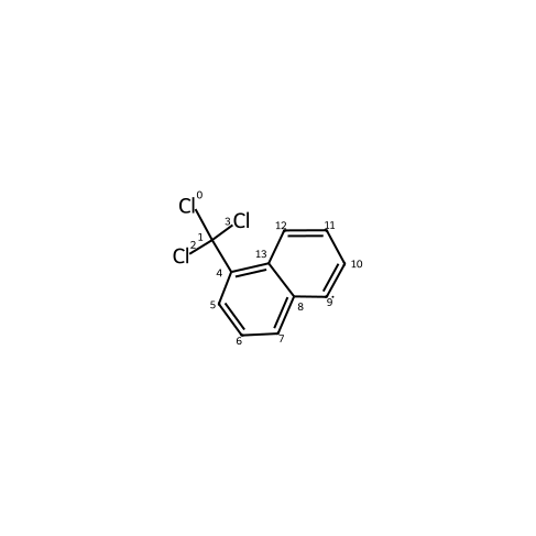 ClC(Cl)(Cl)c1cccc2[c]cccc12